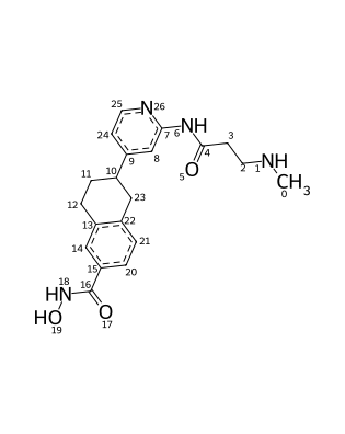 CNCCC(=O)Nc1cc(C2CCc3cc(C(=O)NO)ccc3C2)ccn1